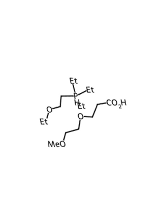 CCOCC[PH](CC)(CC)CC.COCCOCCC(=O)O